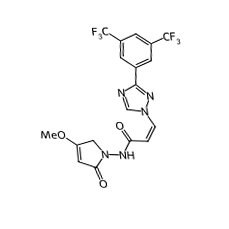 COC1=CC(=O)N(NC(=O)/C=C\n2cnc(-c3cc(C(F)(F)F)cc(C(F)(F)F)c3)n2)C1